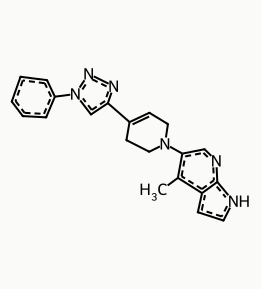 Cc1c(N2CC=C(c3cn(-c4ccccc4)nn3)CC2)cnc2[nH]ccc12